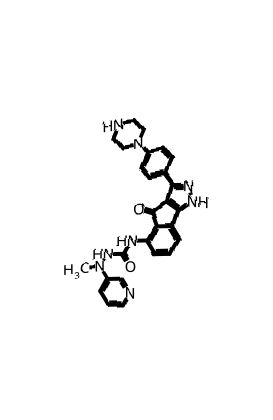 CN(NC(=O)Nc1cccc2c1C(=O)c1c(-c3ccc(N4CCNCC4)cc3)n[nH]c1-2)c1cccnc1